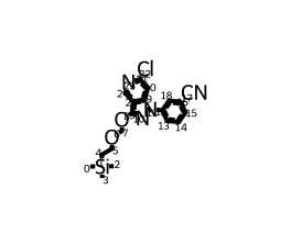 C[Si](C)(C)CCOCOc1nn(-c2cccc(C#N)c2)c2cc(Cl)ncc12